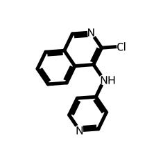 Clc1ncc2ccccc2c1Nc1ccncc1